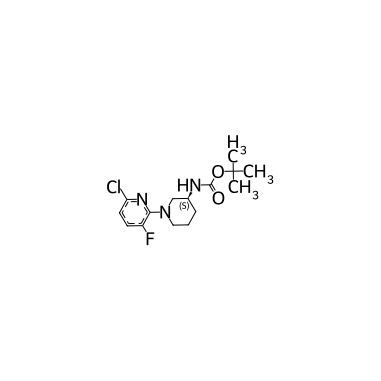 CC(C)(C)OC(=O)N[C@H]1CCCN(c2nc(Cl)ccc2F)C1